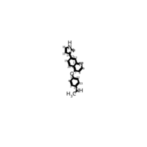 CNc1ccc(Oc2ccnc3cc(-c4cc[nH]n4)ccc23)cc1